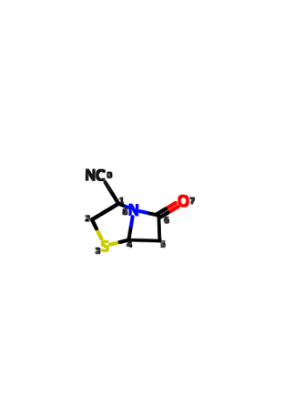 N#CC1CSC2CC(=O)N12